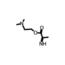 CC(=N)C(=O)OCCN(C)C